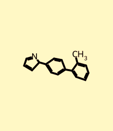 Cc1ccccc1-c1ccc(C2C=CC=N2)cc1